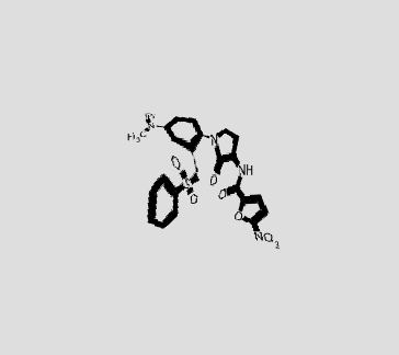 CC(C)N(C)[C@@H]1CC[C@H](N2CCC(NC(=O)c3ccc([N+](=O)[O-])o3)C2=O)[C@H](CS(=O)(=O)c2ccccc2)C1